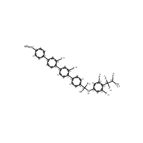 CCCCCc1ccc(-c2ccc(-c3ccc(-c4ccc(C(F)(F)Oc5cc(F)c(C(F)(F)C(F)C(F)(F)F)c(F)c5)cc4)c(F)c3)c(F)c2)cc1